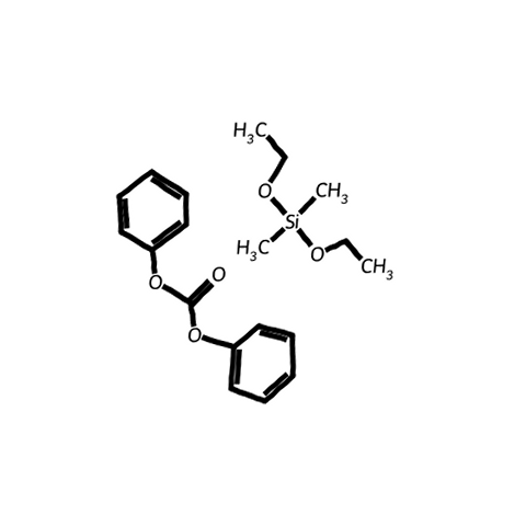 CCO[Si](C)(C)OCC.O=C(Oc1ccccc1)Oc1ccccc1